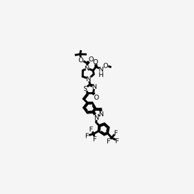 CONC(=O)C1CN(C2=NC(=O)C(=Cc3ccc4c(cnn4Cc4ccc(C(F)(F)F)cc4C(F)(F)F)c3)S2)CCN1C(=O)OC(C)(C)C